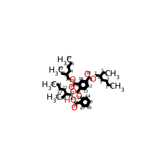 CCCCC(CC)COC(=O)c1ccc(C(=O)OCC(CC)CCCC)c(C(=O)OCC(CC)CCCC)c1.O=C(O)c1ccccc1